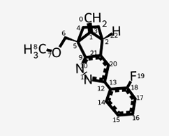 C=C1[C@@H]2CC[C@@]1(COC)c1nnc(-c3ccccc3F)cc12